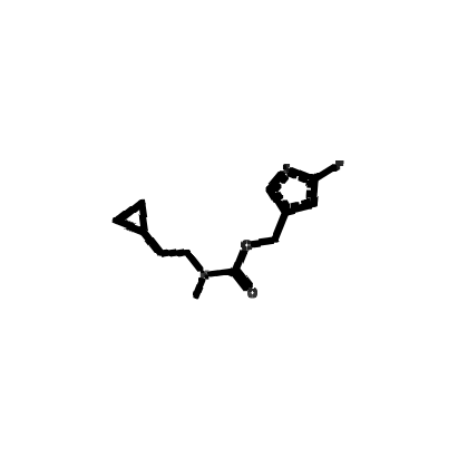 CN(CCC1CC1)C(=O)OCc1csc(F)c1